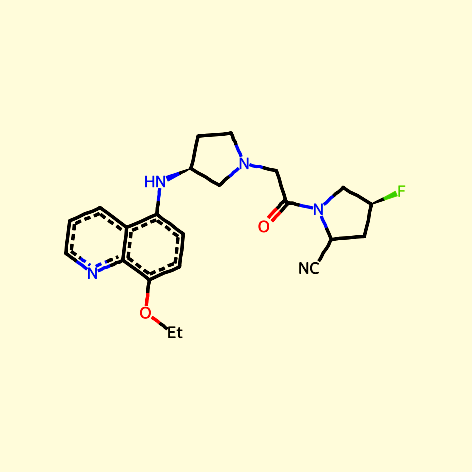 CCOc1ccc(N[C@H]2CCN(CC(=O)N3C[C@@H](F)CC3C#N)C2)c2cccnc12